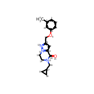 Cc1cccc(OCc2cc3n(n2)CCN(CC2CC2)C3=O)c1